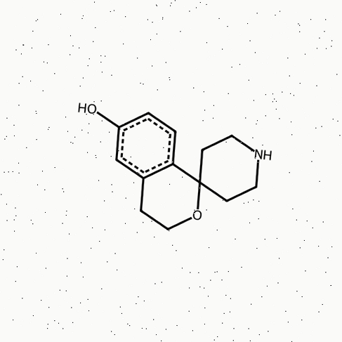 Oc1ccc2c(c1)CCOC21CCNCC1